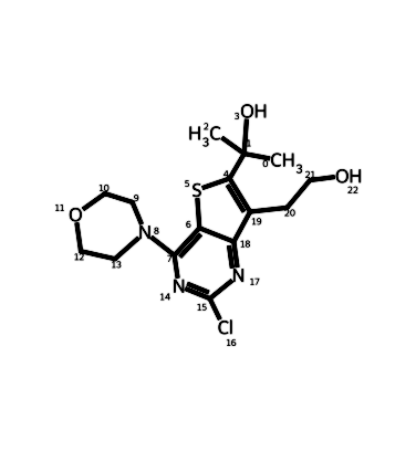 CC(C)(O)c1sc2c(N3CCOCC3)nc(Cl)nc2c1CCO